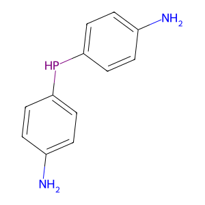 Nc1ccc(Pc2ccc(N)cc2)cc1